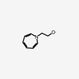 [O]CCN1C=CC=CC=C1